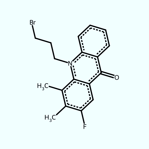 Cc1c(F)cc2c(=O)c3ccccc3n(CCCBr)c2c1C